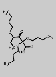 CCCCOC(CC)C(=O)C(OCCCC)(OCCCC)C(=O)O